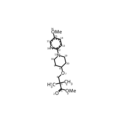 COC(=O)C(C)(C)COC1CCN(c2ccc(OC)cn2)CC1